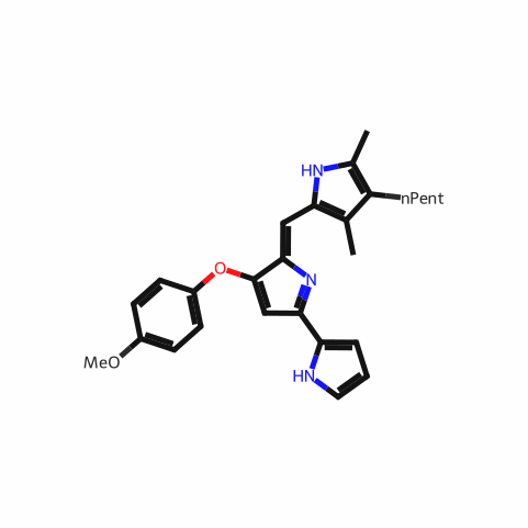 CCCCCc1c(C)[nH]c(/C=C2\N=C(c3ccc[nH]3)C=C2Oc2ccc(OC)cc2)c1C